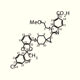 COCCn1c(C2CC23CCN(c2cccc4c2OC(C)(c2ccc(Cl)cc2F)O4)CC3)nc2ccc(C(=O)O)cc21